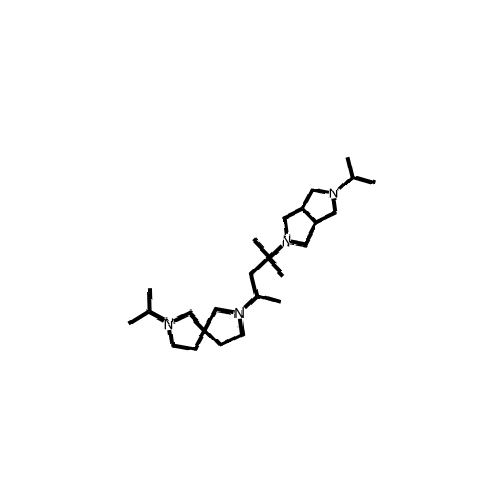 CC(C)N1CC2CN(C(C)(C)CC(C)N3CCC4(CCN(C(C)C)C4)C3)CC2C1